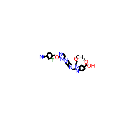 COCCn1c(CN2CC3=C(C2)CN(c2ccnc(OCc4ccc(C#N)cc4F)n2)C3)nc2ccc(C(=O)O)cc21